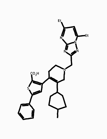 CCc1cc(CC)n2nc(CN3CCC(c4cc(-c5ccccc5)sc4C(=O)O)=C(C4CCC(C)CC4)C3)nc2n1